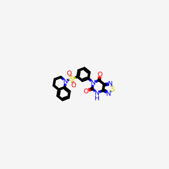 O=c1[nH]c2nsnc2c(=O)n1-c1cccc(S(=O)(=O)N2CCCc3ccccc32)c1